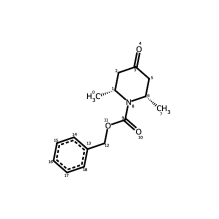 C[C@@H]1CC(=O)C[C@H](C)N1C(=O)OCc1ccccc1